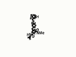 CNC(=O)c1cc(C(=O)NC2CC2)cc(Cc2cccc(OCCC3CNCCC3(F)F)c2)n1